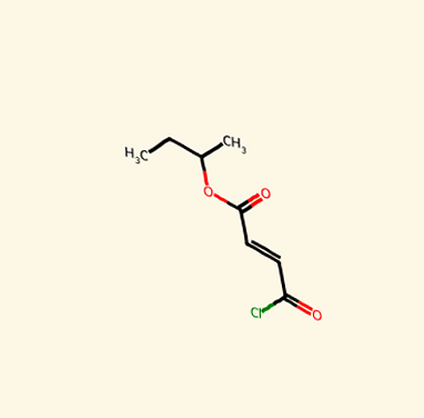 CCC(C)OC(=O)C=CC(=O)Cl